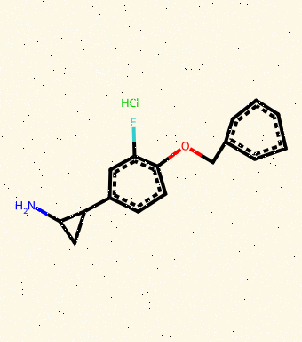 Cl.NC1CC1c1ccc(OCc2ccccc2)c(F)c1